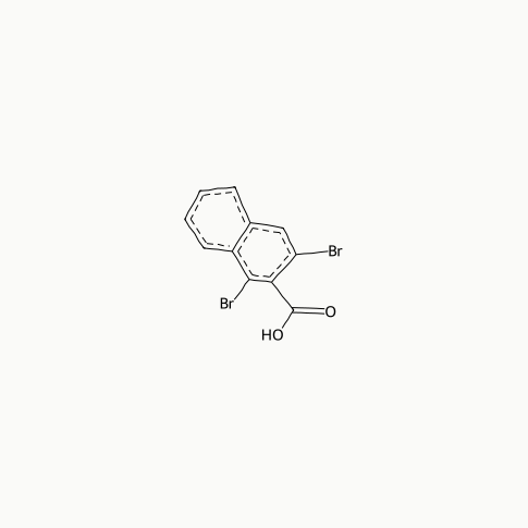 O=C(O)c1c(Br)cc2ccccc2c1Br